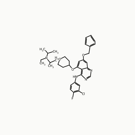 CCN(C(C)C)C(C)C.Fc1ccc(Nc2ncnc3cc(OCc4ccccc4)cc(OC4CCOCC4)c23)cc1Cl